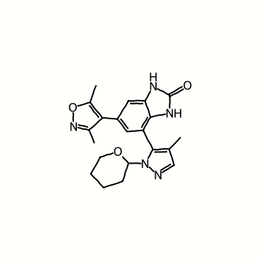 Cc1cnn(C2CCCCO2)c1-c1cc(-c2c(C)noc2C)cc2[nH]c(=O)[nH]c12